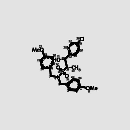 COc1ccc(CN(Cc2ccc(OC)cc2)S(=O)(=O)[C@@H](C)[C@H](O)c2ccc(Cl)cn2)cc1